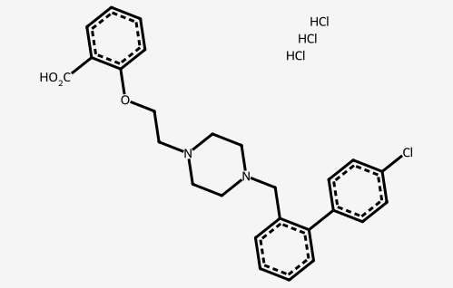 Cl.Cl.Cl.O=C(O)c1ccccc1OCCN1CCN(Cc2ccccc2-c2ccc(Cl)cc2)CC1